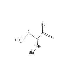 CCC(=O)C(NC(C)(C)C)OC(=O)O